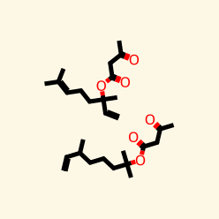 C=CC(C)(CCC=C(C)C)OC(=O)CC(C)=O.C=CC(C)CCCC(C)(C)OC(=O)CC(C)=O